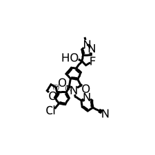 Cn1cc(C(O)(CF)c2ccc3c(c2)C(=O)N(Cc2ccc(C#N)cn2)[C@@]3(O[C@H]2CCOC2)c2ccc(Cl)cc2)cn1